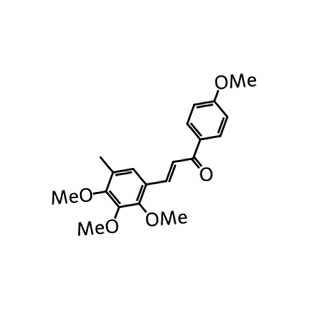 COc1ccc(C(=O)C=Cc2cc(C)c(OC)c(OC)c2OC)cc1